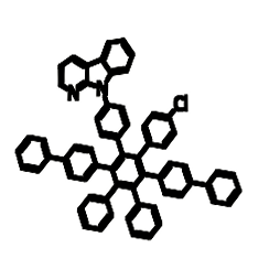 Clc1ccc(-c2c(-c3ccc(-c4ccccc4)cc3)c(-c3ccccc3)c(-c3ccccc3)c(-c3ccc(-c4ccccc4)cc3)c2-c2ccc(-n3c4ccccc4c4cccnc43)cc2)cc1